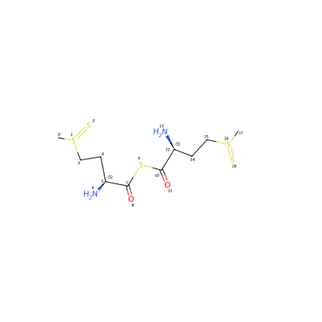 CS(=S)CC[C@H](N)C(=O)SC(=O)[C@@H](N)CCS(C)=S